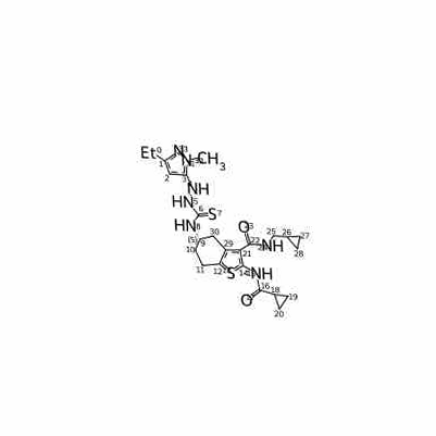 CCc1cc(NNC(=S)N[C@H]2CCc3sc(NC(=O)C4CC4)c(C(=O)NCC4CC4)c3C2)n(C)n1